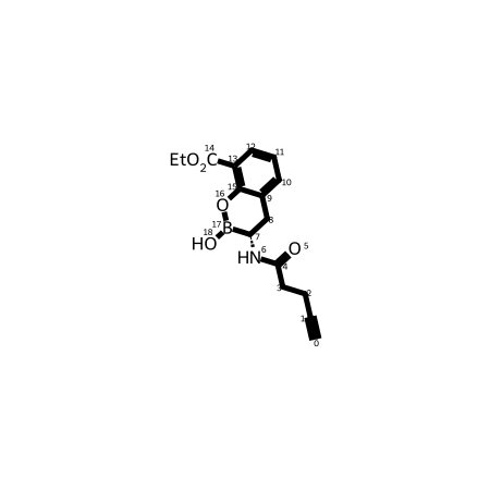 C#CCCC(=O)N[C@H]1Cc2cccc(C(=O)OCC)c2OB1O